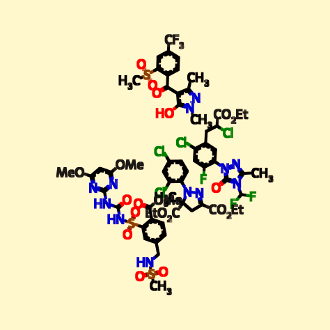 CCOC(=O)C(Cl)Cc1cc(-n2nc(C)n(C(F)F)c2=O)c(F)cc1Cl.CCOC(=O)C1=NN(c2ccc(Cl)cc2Cl)C(C)(C(=O)OCC)C1.COC(=O)c1ccc(CNS(C)(=O)=O)cc1S(=O)(=O)NC(=O)Nc1nc(OC)cc(OC)n1.Cc1nn(C)c(O)c1C(=O)c1ccc(C(F)(F)F)cc1S(C)(=O)=O